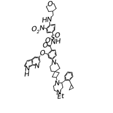 CCN1CCN(C2CC3(CCN(c4ccc(C(=O)NS(=O)(=O)c5ccc(NCC6CCOCC6)c([N+](=O)[O-])c5)c(Oc5cnc6[nH]ccc6c5)c4)CC3)C2)C(c2ccccc2C2CC2)C1